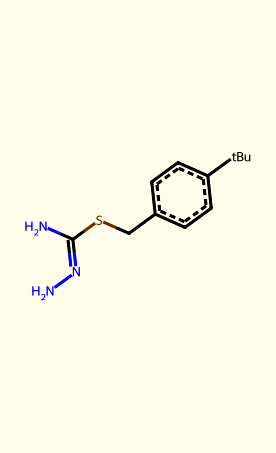 CC(C)(C)c1ccc(CSC(N)=NN)cc1